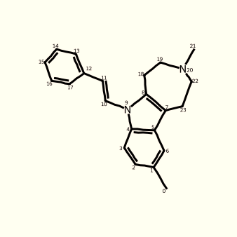 Cc1ccc2c(c1)c1c(n2C=Cc2ccccc2)CCN(C)CC1